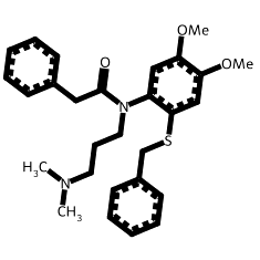 COc1cc(SCc2ccccc2)c(N(CCCN(C)C)C(=O)Cc2ccccc2)cc1OC